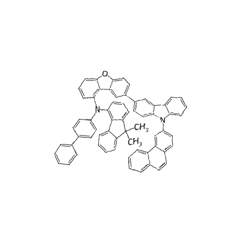 CC1(C)c2ccccc2-c2c(N(c3ccc(-c4ccccc4)cc3)c3cccc4oc5ccc(-c6ccc7c(c6)c6ccccc6n7-c6ccc7ccc8ccccc8c7c6)cc5c34)cccc21